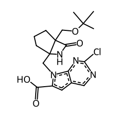 CC(C)(C)OCC12CCCC1(Cn1c(C(=O)O)cc3cnc(Cl)nc31)NC2=O